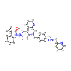 O=C(NN1CCC(N(Cc2ccc(CNCc3ccccn3)cc2)Cc2ccccn2)CC1)C1(c2ccccc2)CC1